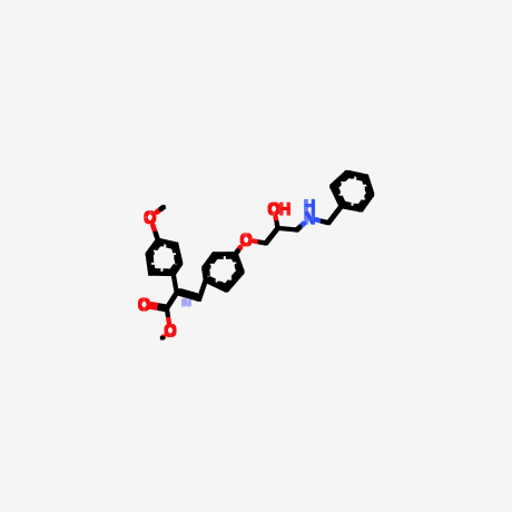 COC(=O)/C(=C/c1ccc(OCC(O)CNCc2ccccc2)cc1)c1ccc(OC)cc1